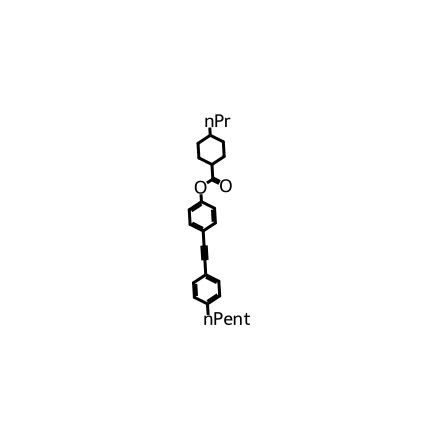 CCCCCc1ccc(C#Cc2ccc(OC(=O)C3CCC(CCC)CC3)cc2)cc1